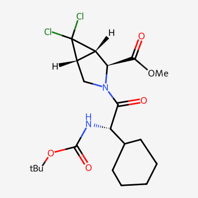 COC(=O)[C@@H]1[C@@H]2[C@H](CN1C(=O)[C@@H](NC(=O)OC(C)(C)C)C1CCCCC1)C2(Cl)Cl